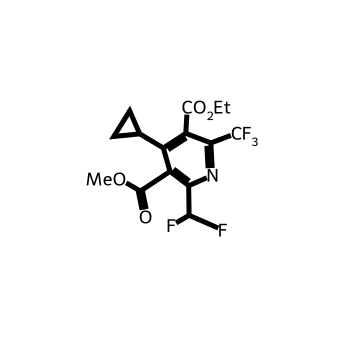 CCOC(=O)c1c(C(F)(F)F)nc(C(F)F)c(C(=O)OC)c1C1CC1